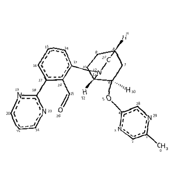 Cc1cnc(O[C@@H]2C[C@H]3CC[C@@H]2N(c2cccc(-c4ncccn4)c2C=O)C3)cn1